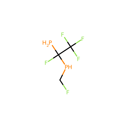 FCPC(F)(P)C(F)(F)F